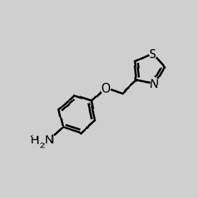 Nc1ccc(OCc2cscn2)cc1